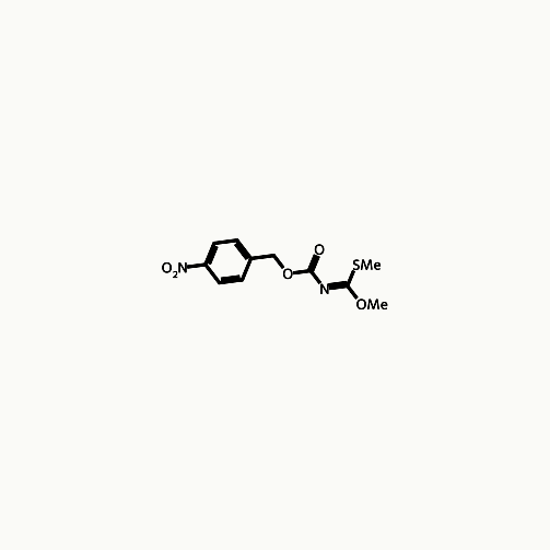 COC(=NC(=O)OCc1ccc([N+](=O)[O-])cc1)SC